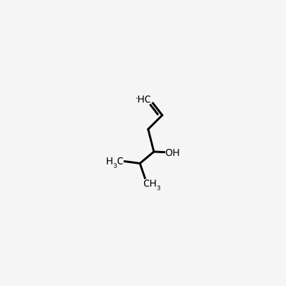 [CH]=CCC(O)C(C)C